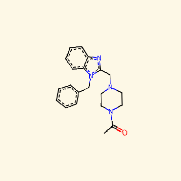 CC(=O)N1CCN(Cc2nc3ccccc3n2Cc2ccccc2)CC1